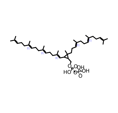 CC(C)=CCC/C(C)=C/CC/C(C)=C/CC/C(C)=C/C1C(COP(=O)(O)OP(=O)(O)O)C1(C)CC/C=C(\C)CC/C=C(\C)CCC=C(C)C